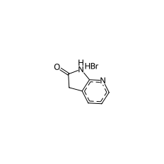 Br.O=C1Cc2cccnc2N1